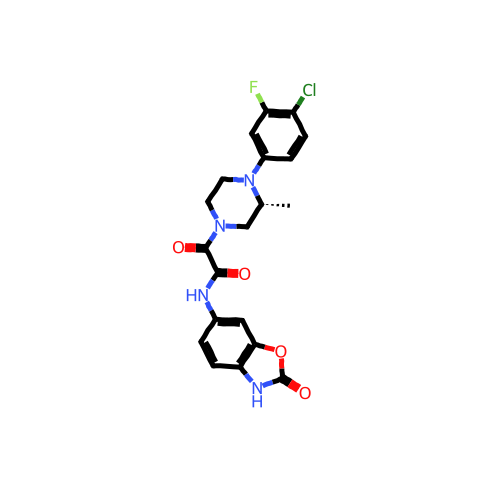 C[C@@H]1CN(C(=O)C(=O)Nc2ccc3[nH]c(=O)oc3c2)CCN1c1ccc(Cl)c(F)c1